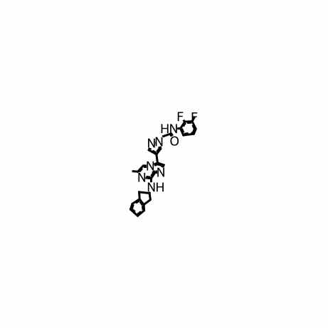 Cc1cn2c(-c3cnn(CC(=O)Nc4cccc(F)c4F)c3)cnc2c(NC2Cc3ccccc3C2)n1